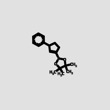 CC1(C)OB(C2=CC(c3ccccc3)CC2)OC1(C)C